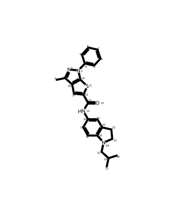 Cc1nn(-c2ccccc2)c2sc(C(=O)Nc3ccc4c(c3)CCN4CC(C)C)cc12